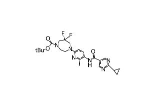 Cc1nc(N2CCN(C(=O)OC(C)(C)C)CC(F)(F)C2)ccc1NC(=O)c1cnc(C2CC2)nc1